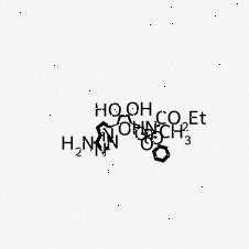 CCOC(=O)[C@H](C)NP(=O)(OC[C@H]1O[C@@H](c2ccc3c(N)ncnn23)[C@H](O)[C@@H]1O)Oc1ccccc1